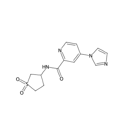 O=C(NC1CCS(=O)(=O)C1)c1cc(-n2ccnc2)ccn1